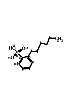 CCCCCCc1cccnc1S(=O)(=O)O